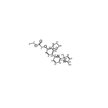 CCOC(=O)COc1ccc(-c2cccc(C3(C)C=CC(C)=N3)n2)c2c1C1CCC2C1